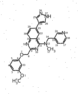 COc1cccc(OCc2nc(N(C)Cc3cccnc3)c3cc(-c4cn[nH]c4)ccc3n2)c1